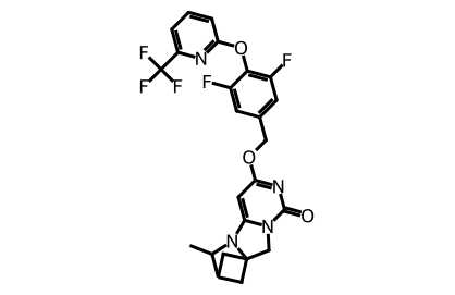 CC1C2CC3(C2)Cn2c(cc(OCc4cc(F)c(Oc5cccc(C(F)(F)F)n5)c(F)c4)nc2=O)N13